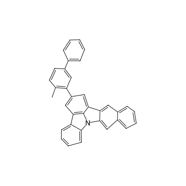 Cc1ccc(-c2ccccc2)cc1-c1cc2c3ccccc3n3c4cc5ccccc5cc4c(c1)c23